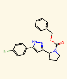 O=C(OCc1ccccc1)N1CCCC1c1cc(-c2ccc(Br)cc2)[nH]n1